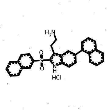 Cl.NCCc1c(S(=O)(=O)c2ccc3ccccc3c2)[nH]c2ccc(-c3cccc4ccccc34)cc12